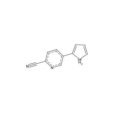 N#Cc1ccc(C2=CC=C[SeH2]2)cn1